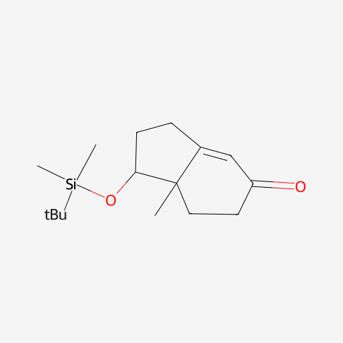 CC12CCC(=O)C=C1CCC2O[Si](C)(C)C(C)(C)C